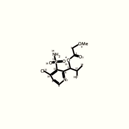 COCC(=O)OC(c1nccc(Cl)c1S(N)(=O)=O)C(C)F